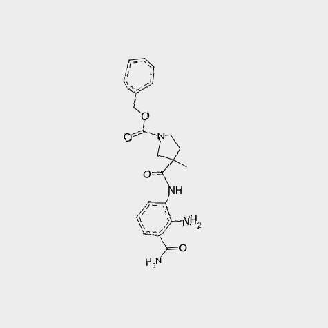 CC1(C(=O)Nc2cccc(C(N)=O)c2N)CCN(C(=O)OCc2ccccc2)C1